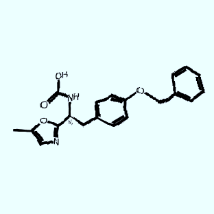 Cc1cnc([C@H](Cc2ccc(OCc3ccccc3)cc2)NC(=O)O)o1